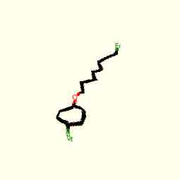 BrCCCCCCCOc1ccc(Br)cc1